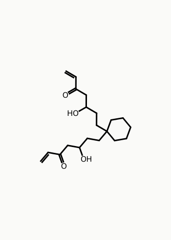 C=CC(=O)CC(O)CCC1(CCC(O)CC(=O)C=C)CCCCC1